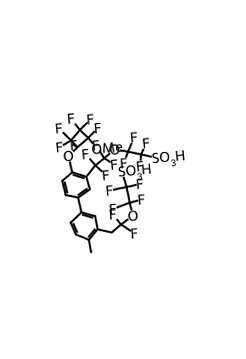 COC1(F)C(F)(F)C(F)(F)C1(F)Oc1ccc(-c2ccc(C)c(CC(F)(F)OC(F)(F)C(F)(F)S(=O)(=O)O)c2)cc1C(F)(F)C(F)(F)OC(F)(F)C(F)(F)S(=O)(=O)O